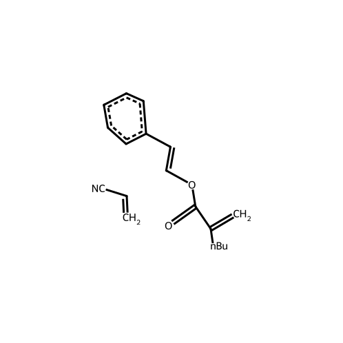 C=C(CCCC)C(=O)OC=Cc1ccccc1.C=CC#N